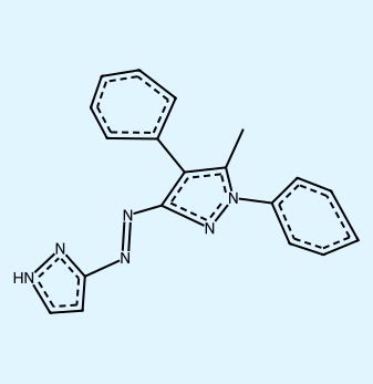 Cc1c(-c2ccccc2)c(N=Nc2cc[nH]n2)nn1-c1ccccc1